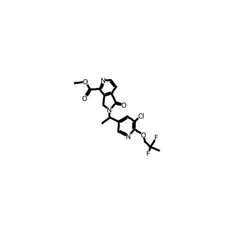 COC(=O)c1nccc2c1CN(C(C)c1cnc(OCC(C)(F)F)c(Cl)c1)C2=O